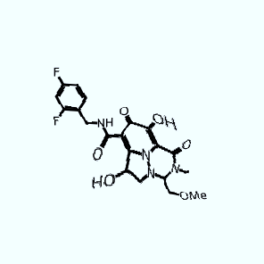 COCC1N(C)C(=O)c2c(O)c(=O)c(C(=O)NCc3ccc(F)cc3F)c3n2N1CC3O